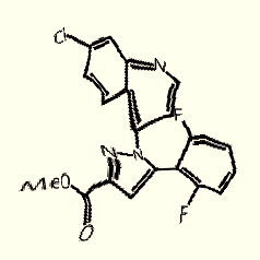 COC(=O)c1cc(-c2c(F)cccc2F)n(-c2ccnc3cc(Cl)ccc23)n1